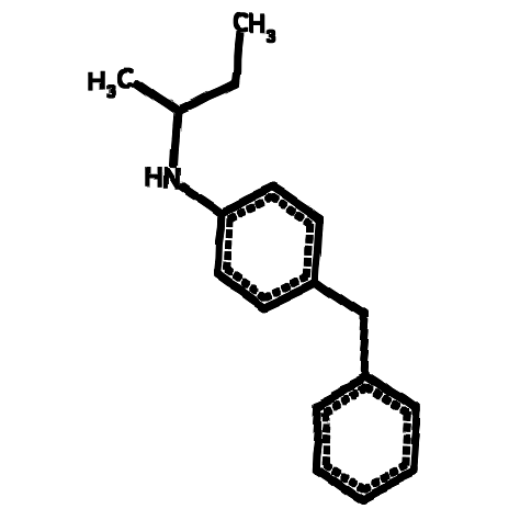 CCC(C)Nc1ccc(Cc2ccccc2)cc1